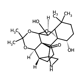 CC1(C)O[C@@H]2[C@H]3CCC4[C@@]56COC(O1)([C@@H](O)C5C(C)(C)CC[C@@H]6O)[C@]42C(=O)C31CN1